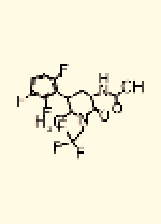 CC1C(c2c(F)ccc(F)c2F)CC(NC(=O)O)C(=O)N1CC(F)(F)F